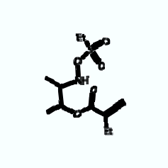 C=C(CC)C(=O)OC(C)C(C)NOS(=O)(=O)CC